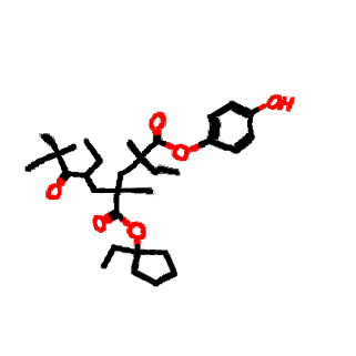 CCC(CC(C)(CC(C)(CC)C(=O)Oc1ccc(O)cc1)C(=O)OC1(CC)CCCC1)C(=O)C(C)(C)C